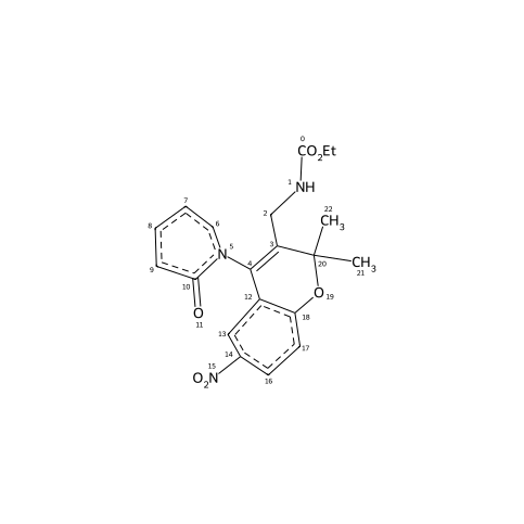 CCOC(=O)NCC1=C(n2ccccc2=O)c2cc([N+](=O)[O-])ccc2OC1(C)C